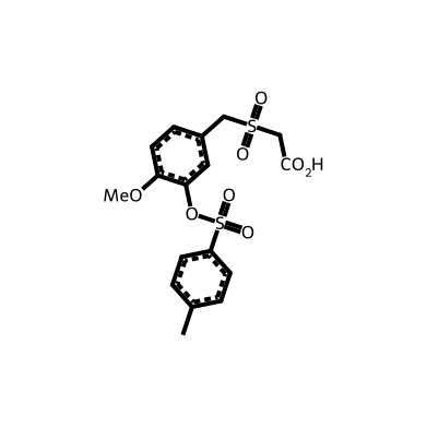 COc1ccc(CS(=O)(=O)CC(=O)O)cc1OS(=O)(=O)c1ccc(C)cc1